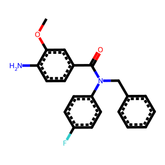 COc1cc(C(=O)N(Cc2ccccc2)c2ccc(F)cc2)ccc1N